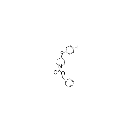 O=C(OCc1ccccc1)N1CCC(Sc2ccc(I)cc2)CC1